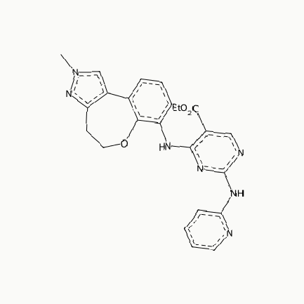 CCOC(=O)c1cnc(Nc2ccccn2)nc1Nc1cccc2c1OCCc1nn(C)cc1-2